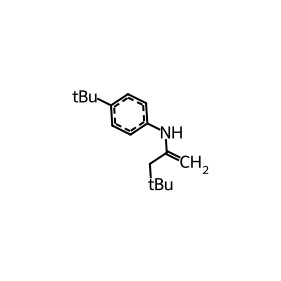 C=C(CC(C)(C)C)Nc1ccc(C(C)(C)C)cc1